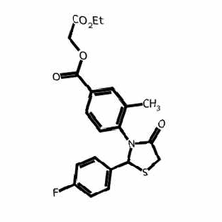 CCOC(=O)COC(=O)c1ccc(N2C(=O)CSC2c2ccc(F)cc2)c(C)c1